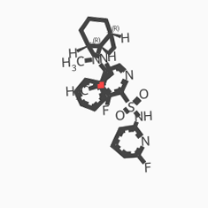 Cc1c(N(C)[C@H]2[C@@H]3CCC[C@H]2CN(Cc2ccccc2)C3)cnc(S(=O)(=O)Nc2cccc(F)n2)c1F